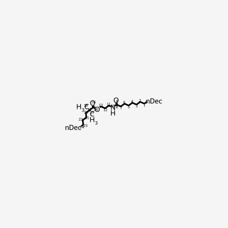 CCCCCCCCCCCCCCCCCC(=O)NCCCOC(=O)C(C)(C)CCCCCCCCCCCCCC